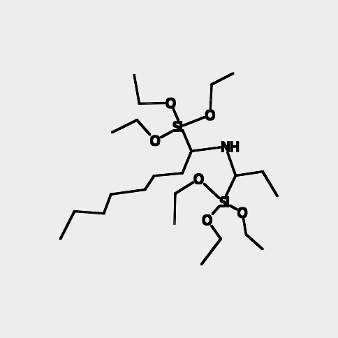 CCCCCCCC(NC(CC)[Si](OCC)(OCC)OCC)[Si](OCC)(OCC)OCC